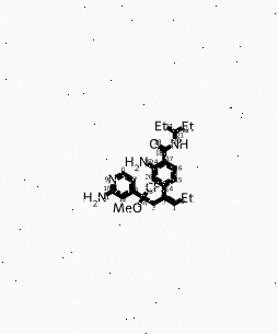 CC/C=C(/CC(OC)(c1ccnc(N)c1)C(F)(F)F)c1ccc(C(=O)NC(CC)CC)c(N)c1